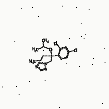 CCCC(Cn1cncn1)(OC(C)C)c1ccc(Cl)cc1Cl